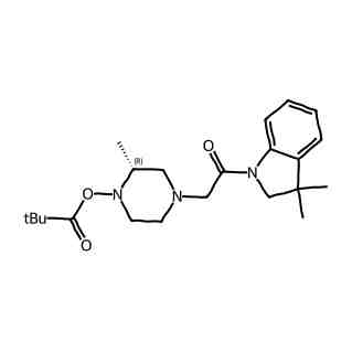 C[C@@H]1CN(CC(=O)N2CC(C)(C)c3ccccc32)CCN1OC(=O)C(C)(C)C